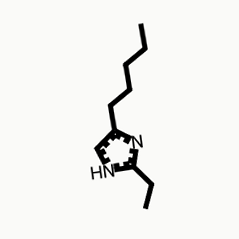 CCCCCc1c[nH]c(CC)n1